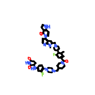 Cc1cc(C(=O)N2CCC(CN3CCN(c4ccc(NC5CCC(=O)NC5=O)cc4F)CC3)CC2)cc(F)c1C1=CCN(Cc2cc3c(-n4ccc5c(c4=O)CCN5)ccnc3n2C)CC1